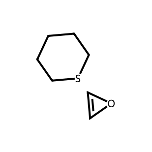 C1=CO1.C1CCSCC1